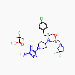 Nc1nnc(N2CCC(N3C[C@H](CN4CCC(F)(F)C4)OC[C@@H]3Cc3ccc(Cl)cc3)CC2)[nH]1.O=C(O)C(F)(F)F